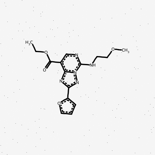 CCOC(=O)c1cnc(NCCOC)n2nc(-c3ccco3)nc12